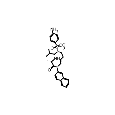 CC(C)CN([C@H](CO)CCCN(C(=O)[C@H](C)N)c1ccc2ccccc2c1)S(=O)(=O)c1ccc(N)cc1